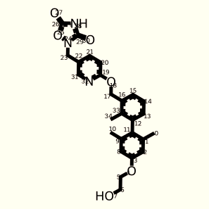 Cc1cc(OCCO)cc(C)c1-c1cccc(COc2ccc(Cn3oc(=O)[nH]c3=O)cn2)c1C